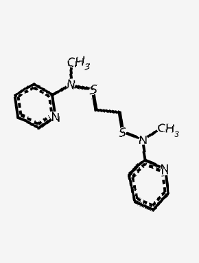 CN(SCCSN(C)c1ccccn1)c1ccccn1